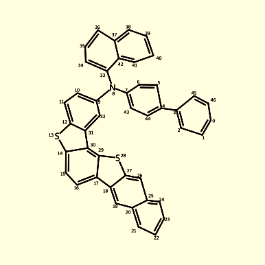 c1ccc(-c2ccc(N(c3ccc4sc5ccc6c7cc8ccccc8cc7sc6c5c4c3)c3cccc4ccccc34)cc2)cc1